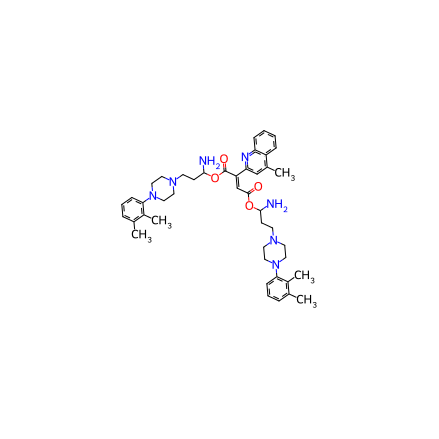 Cc1cccc(N2CCN(CCC(N)OC(=O)/C=C(/C(=O)OC(N)CCN3CCN(c4cccc(C)c4C)CC3)c3cc(C)c4ccccc4n3)CC2)c1C